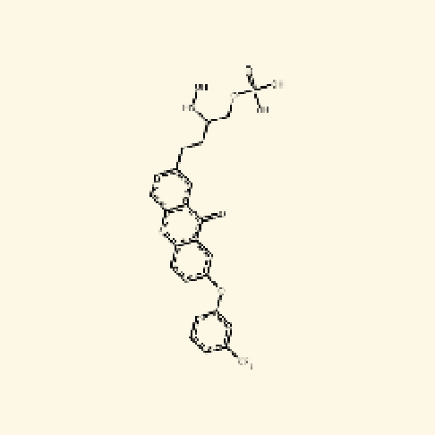 O=c1c2cc(CCC(COP(=O)(O)O)NO)ccc2sc2ccc(Oc3cccc(C(F)(F)F)c3)cc12